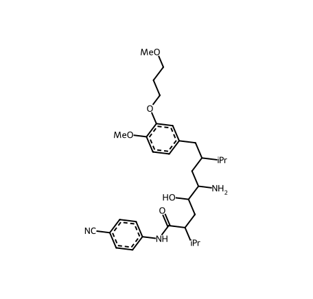 COCCCOc1cc(CC(CC(N)C(O)CC(C(=O)Nc2ccc(C#N)cc2)C(C)C)C(C)C)ccc1OC